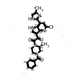 Cc1c[nH]c(-c2cc(Cl)nc3c(C(=O)C(=O)N4CCN(C(=O)c5ccccc5)C[C@H]4C)c[nH]c23)n1